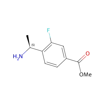 COC(=O)c1ccc([C@H](C)N)c(F)c1